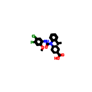 COc1cc(F)c(Cl)cc1NC(=O)N(c1ccccc1C(C)C)C1CCC(C(=O)O)CC1